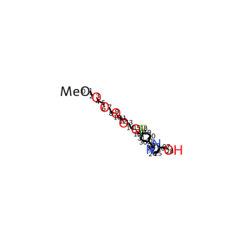 COCCOCCOCCOCCOCCOCC1(F)CC=C(c2nccc(CO)n2)CC1